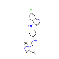 Cc1ncc([N+](=O)[O-])n1CCN[C@H]1CC[C@@H](Nc2ccnc3cc(Cl)ccc23)CC1